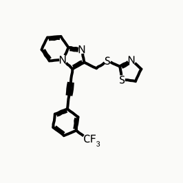 FC(F)(F)c1cccc(C#Cc2c(CSC3=NCCS3)nc3ccccn23)c1